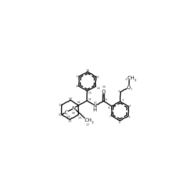 COCc1ccccc1C(=O)NC(c1ccccc1)C12CCC(CC1)CN2C